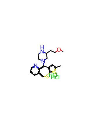 COCCC1CN(C2=c3ncccc3=CSc3sc(C)cc32)CCN1.Cl.Cl